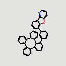 c1cc(-c2cccc3c2-c2ccccc2-c2ccccc2-c2ccccc2-3)cc(-c2cccc3c2oc2cccnc23)c1